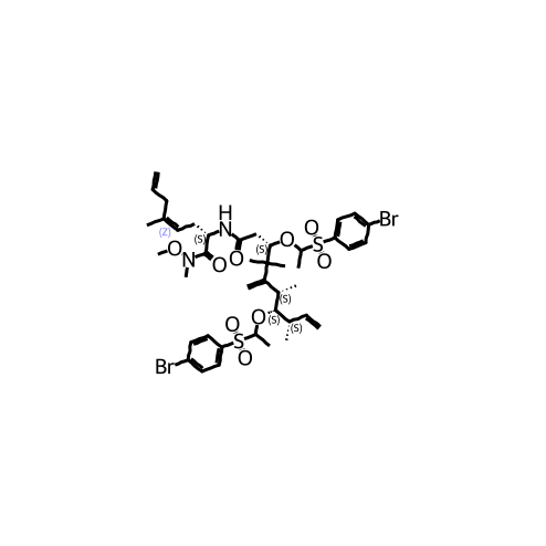 C=CC/C(C)=C\C[C@H](NC(=O)C[C@H](OC(C)S(=O)(=O)c1ccc(Br)cc1)C(C)(C)C(=C)[C@H](C)[C@@H](OC(C)S(=O)(=O)c1ccc(Br)cc1)[C@@H](C)C=C)C(=O)N(C)OC